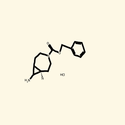 Cl.NC1C2CCN(C(=O)OCc3ccccc3)CC[C@@H]12